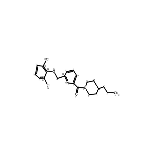 CCCC1CCN(C(=O)c2cccc(COc3c(Cl)cccc3Cl)n2)CC1